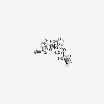 CC(=O)O.CC(O)C(=O)[O-].O=C(O)O.O=C([O-])CC(O)(CC(=O)[O-])C(=O)[O-].[Cl-].[Na+].[Na+].[Na+].[Na+].[Na+]